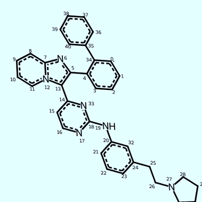 [c]1cccc(-c2nc3ccccn3c2-c2ccnc(Nc3cccc(CCN4CCCC4)c3)n2)c1-c1ccccc1